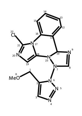 COCc1cnnn1N1C=NC2c3ccccc3-n3c(cnc3Cl)N21